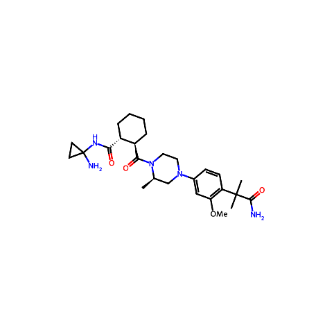 COc1cc(N2CCN(C(=O)[C@@H]3CCCC[C@H]3C(=O)NC3(N)CC3)[C@H](C)C2)ccc1C(C)(C)C(N)=O